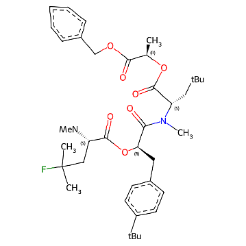 CN[C@@H](CC(C)(C)F)C(=O)O[C@H](Cc1ccc(C(C)(C)C)cc1)C(=O)N(C)[C@@H](CC(C)(C)C)C(=O)O[C@H](C)C(=O)OCc1ccccc1